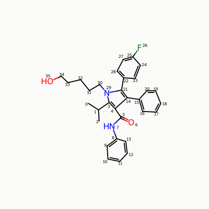 CC(C)c1c(C(=O)Nc2ccccc2)c(-c2ccccc2)c(-c2ccc(F)cc2)n1CCCCCO